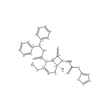 O=C(Cc1cccs1)NC1C(=O)N2C(C(=O)OC(c3ccccc3)c3ccccc3)C(CCl)=CS[C@H]12